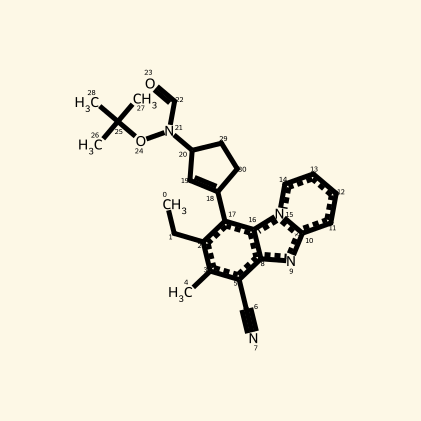 CCc1c(C)c(C#N)c2nc3ccccn3c2c1C1=CC(N(C=O)OC(C)(C)C)CC1